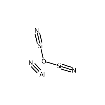 N#[Si]O[Si]#N.[N]#[Al]